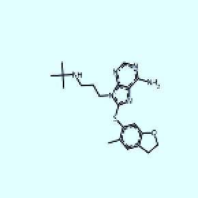 Cc1cc2c(cc1Sc1nc3c(N)ncnc3n1CCCNC(C)(C)C)OCC2